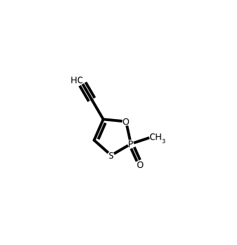 C#CC1=CSP(C)(=O)O1